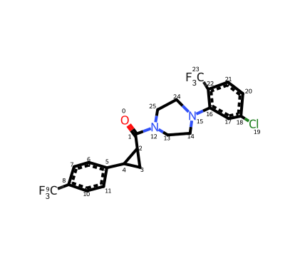 O=C(C1CC1c1ccc(C(F)(F)F)cc1)N1CCN(c2cc(Cl)ccc2C(F)(F)F)CC1